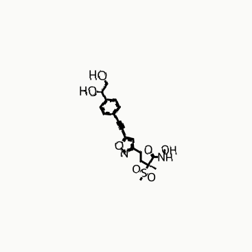 C[C@@](CCc1cc(C#Cc2ccc([C@@H](O)CO)cc2)on1)(C(=O)NO)S(C)(=O)=O